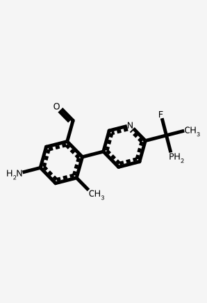 Cc1cc(N)cc(C=O)c1-c1ccc(C(C)(F)P)nc1